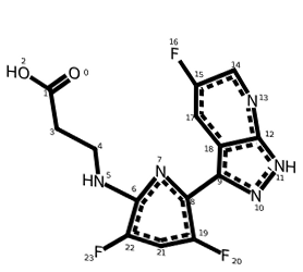 O=C(O)CCNc1nc(-c2n[nH]c3ncc(F)cc23)c(F)cc1F